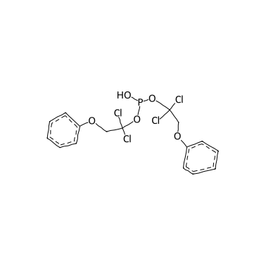 OP(OC(Cl)(Cl)COc1ccccc1)OC(Cl)(Cl)COc1ccccc1